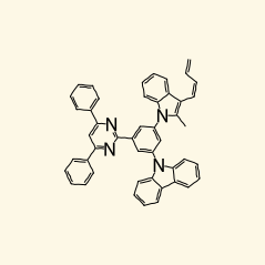 C=C/C=C\c1c(C)n(-c2cc(-c3nc(-c4ccccc4)cc(-c4ccccc4)n3)cc(-n3c4ccccc4c4ccccc43)c2)c2ccccc12